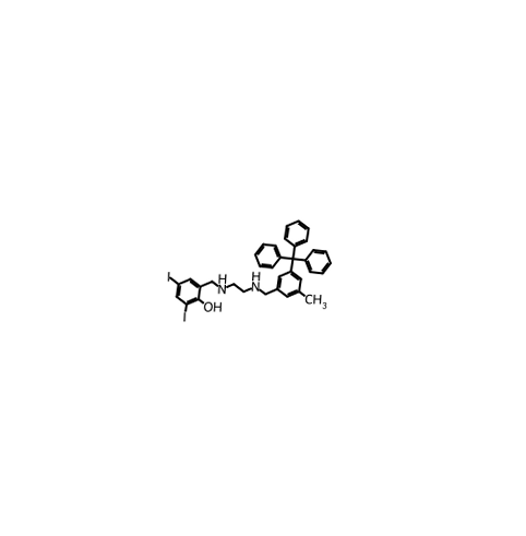 Cc1cc(CNCCNCc2cc(I)cc(I)c2O)cc(C(c2ccccc2)(c2ccccc2)c2ccccc2)c1